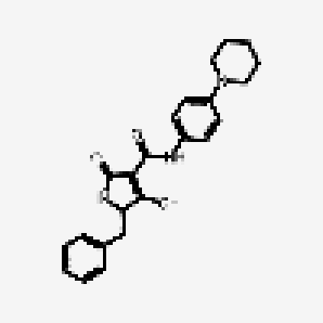 O=C(Nc1ccc(N2CCCCC2)cc1)C1=C(O)C(Cc2ccccc2)NC1=O